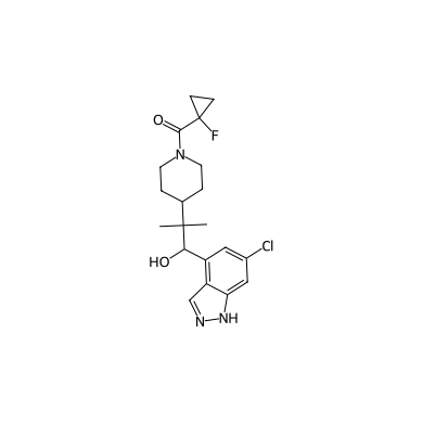 CC(C)(C1CCN(C(=O)C2(F)CC2)CC1)C(O)c1cc(Cl)cc2[nH]ncc12